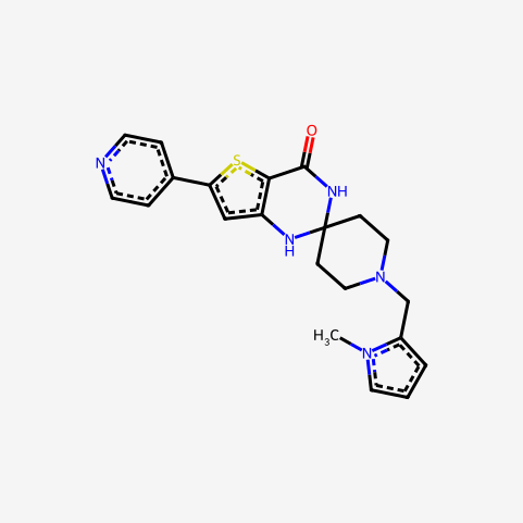 Cn1cccc1CN1CCC2(CC1)NC(=O)c1sc(-c3ccncc3)cc1N2